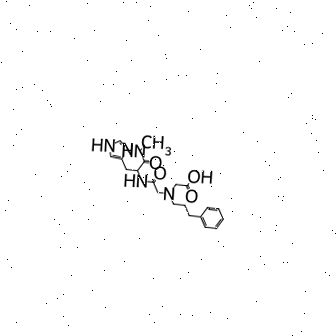 CNC(=O)C(Cc1c[nH]cn1)NC(=O)CN(CCCc1ccccc1)CC(=O)O